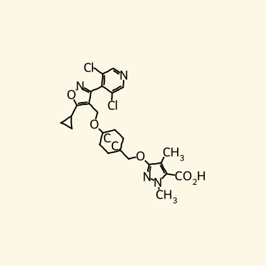 Cc1c(OCC23CCC(OCc4c(-c5c(Cl)cncc5Cl)noc4C4CC4)(CC2)CC3)nn(C)c1C(=O)O